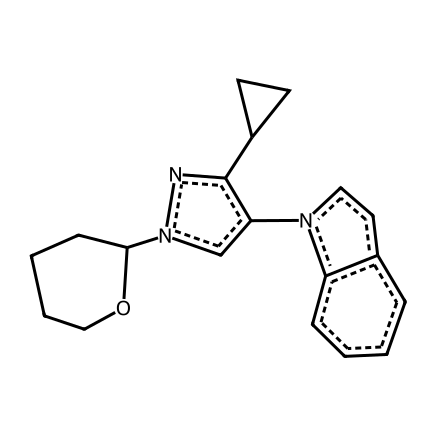 c1ccc2c(c1)ccn2-c1cn(C2CCCCO2)nc1C1CC1